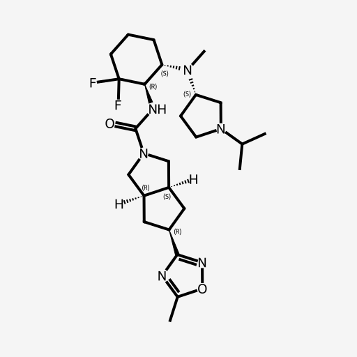 Cc1nc([C@@H]2C[C@@H]3CN(C(=O)N[C@@H]4[C@@H](N(C)[C@H]5CCN(C(C)C)C5)CCCC4(F)F)C[C@@H]3C2)no1